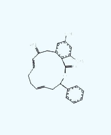 N=C1/C=C/CC/C=C/CC(c2ccccc2)OC(=O)c2c(O)cc(O)cc2C1